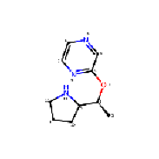 C[C@H](Oc1cnccn1)C1CCCN1